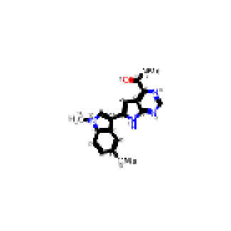 CNC(=O)c1ncnc2[nH]c(-c3cn(C)c4ccc(OC)cc34)cc12